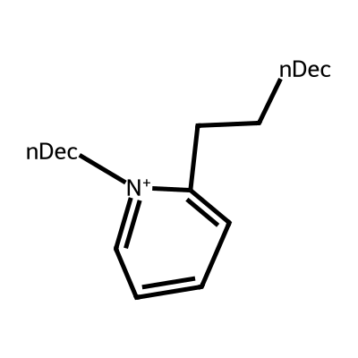 CCCCCCCCCCCCc1cccc[n+]1CCCCCCCCCC